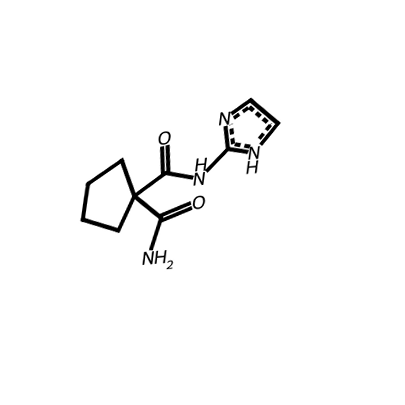 NC(=O)C1(C(=O)Nc2ncc[nH]2)CCCC1